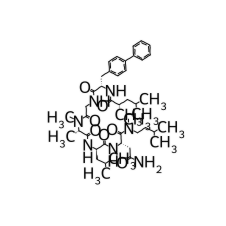 CC(C)CCN(C)C(=O)[C@H](CC(N)=O)NC(=O)[C@@H](CC(C)C)NC(=O)[C@H](C)N(C)C(=O)CNC(=O)[C@H](Cc1ccc(-c2ccccc2)cc1)NC(=O)[C@@H](C)CC(C)C